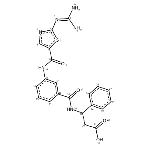 NC(N)=Nc1ncc(C(=O)Nc2cccc(C(=O)NC(CC(=O)O)c3ccccc3)c2)s1